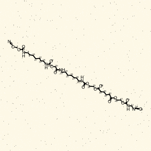 N#COCOC(=O)NCCCCCCCNC(=O)OCC(=O)NCCCCCCCNC(=O)OCCOC(=O)CCCCC(=O)OCCOC(=O)NCN=C=O